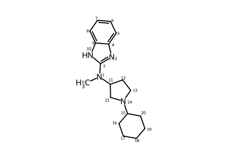 CN(c1nc2ccccc2[nH]1)C1CCN(C2CCCCC2)C1